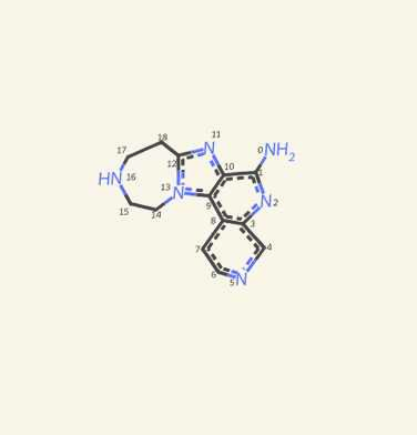 Nc1nc2cnccc2c2c1nc1n2CCNCC1